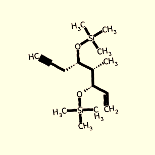 C#CC[C@H](O[Si](C)(C)C)[C@H](C)[C@H](C=C)O[Si](C)(C)C